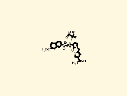 COc1ccc2ccc(S(=O)(=O)CNC3CCN(Cc4cc(C(=N)N)cs4)C3=O)cc2c1.O=C(O)C(F)(F)F